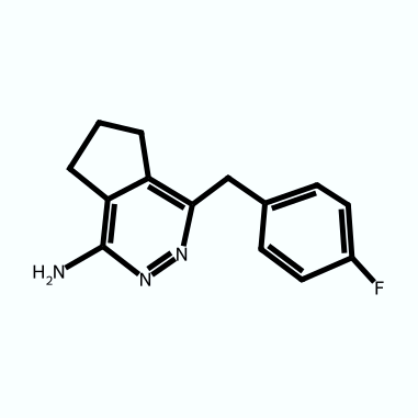 Nc1nnc(Cc2ccc(F)cc2)c2c1CCC2